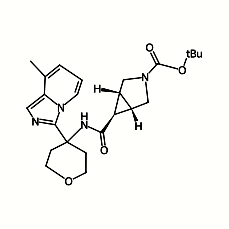 Cc1cccn2c(C3(NC(=O)[C@H]4[C@@H]5CN(C(=O)OC(C)(C)C)C[C@@H]54)CCOCC3)ncc12